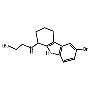 CC(C)(C)CCNC1CCCc2c1[nH]c1ccc(Br)cc21